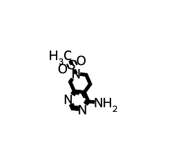 CS(=O)(=O)N1CCc2c(N)ncnc2C1